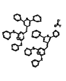 C(=C1C=C(c2ccccc2)SC(c2ccccc2)=C1)c1cc(Sc2ccccc2)[o+]c(Sc2ccccc2)c1.C(=C1C=C(c2ccccc2)SC(c2ccccc2)=C1)c1cc(Sc2ccccc2)[o+]c(Sc2ccccc2)c1.[O-]B([O-])F